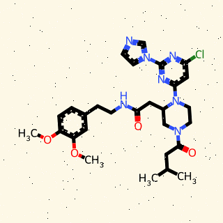 COc1ccc(CCNC(=O)CC2CN(C(=O)CC(C)C)CCN2c2cc(Cl)nc(-n3ccnc3)n2)cc1OC